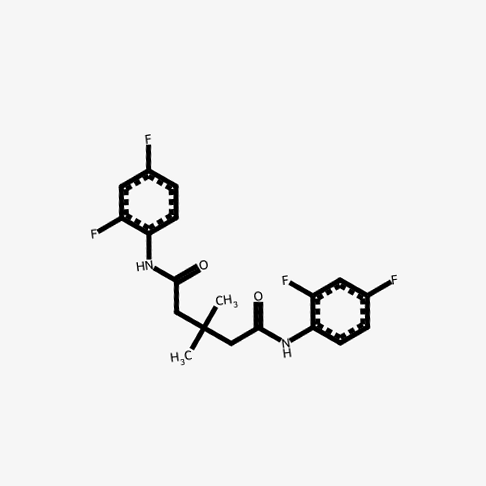 CC(C)(CC(=O)Nc1ccc(F)cc1F)CC(=O)Nc1ccc(F)cc1F